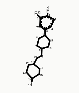 Fc1ccc(C2CCC(CCC3CCC(I)CC3)CC2)cc1F